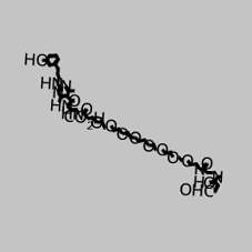 Cc1nc(NCCCc2cccc(O)c2)nc(C)c1C(=O)NC(CNC(=O)CCOCCOCCOCCOCCOCCOCCOCCOCCNC(=O)CCN(C)C(=O)/C=C\C=O)C(=O)O